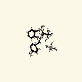 CN1c2ccccc2N(Cc2ccccc2)C1C(F)(F)F.F[B-](F)(F)F.[H+]